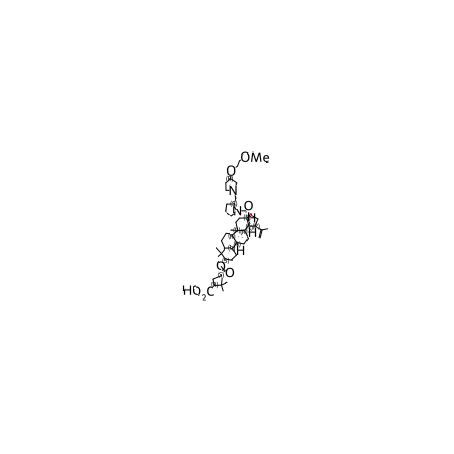 C=C(C)[C@@H]1CC[C@]2(C(=O)N3CCC[C@H]3CN3CC[C@@H](OCCOC)C3)CC[C@]3(C)[C@H](CC[C@@H]4[C@@]5(C)CC[C@H](OC(=O)[C@H]6C[C@@H](C(=O)O)C6(C)C)C(C)(C)C5CC[C@]43C)[C@@H]12